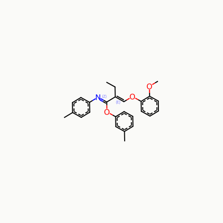 CCC(=C\Oc1ccccc1OC)/C(=N/c1ccc(C)cc1)Oc1cccc(C)c1